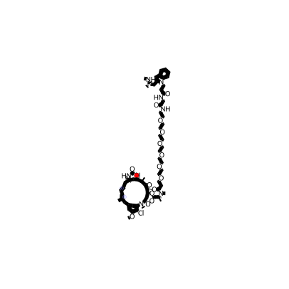 CNN(C)Cc1cc2ccccc2n1CCC(=O)NCC(=O)NCCOCCOCCOCCOCCOCCOCCC(=O)N(C)[C@@H](C)C(=O)O[C@H]1CC(=O)N(C)c2cc(cc(OC)c2Cl)C/C(C)=C/C=C/C[C@H]2C[C@H](OC(=O)N2)[C@@H](C)C2O[C@]21C